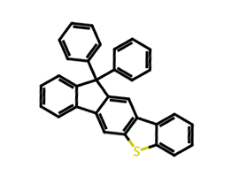 c1ccc(C2(c3ccccc3)c3ccccc3-c3cc4sc5ccccc5c4cc32)cc1